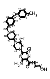 CC[C@H]1CN(c2nc(N)c(C(=O)NCCO)nc2Cl)CCN1C1CCN(Cc2ccc(Oc3ccc(C)cc3)cc2)CC1